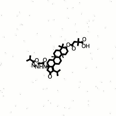 CC(C)C1=C2C3CCC4[C@@](C)(CCC5C(C)(C)[C@@H](OC(=O)CC(C)(C)C(=O)O)CC[C@@]54C)C3CC[C@@]2(NC(=O)c2nnc(C(C)C)o2)CC1=O